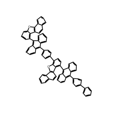 c1ccc(-c2ccc(-c3c4ccccc4c(-c4ccc(-c5ccc(-c6c7ccccc7c(-c7cccc8oc9c%10ccccc%10ccc9c78)c7ccccc67)cc5)c5oc6c7ccccc7ccc6c45)c4ccccc34)cc2)cc1